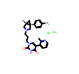 Cc1ncccc1-c1cn(CCCN2C[C@@H]3C[C@]3(c3ccc(C(F)(F)F)cc3)C2)c(=O)[nH]c1=O.Cl.Cl